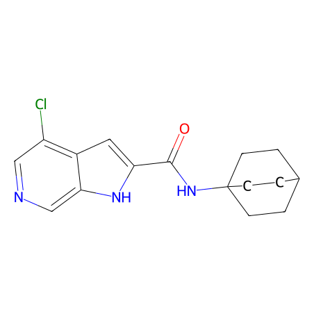 O=C(NC12CCC(CC1)CC2)c1cc2c(Cl)cncc2[nH]1